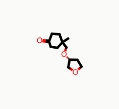 CC1(CO[C@H]2CCOC2)CCC(=O)CC1